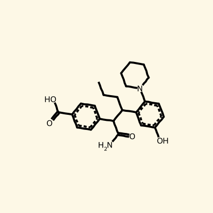 CCCC(c1cc(O)ccc1N1CCCCC1)C(C(N)=O)c1ccc(C(=O)O)cc1